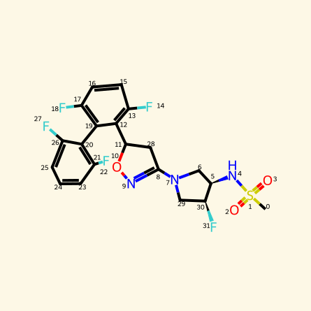 CS(=O)(=O)N[C@@H]1CN(C2=NOC(c3c(F)ccc(F)c3-c3c(F)cccc3F)C2)C[C@@H]1F